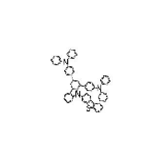 c1ccc(N(c2ccccc2)c2ccc(-c3cc(-c4ccc(N(c5ccccc5)c5ccccc5)cc4)c4c(c3)c3ccccc3n4-c3ccc4c(c3)sc3ccccc34)cc2)cc1